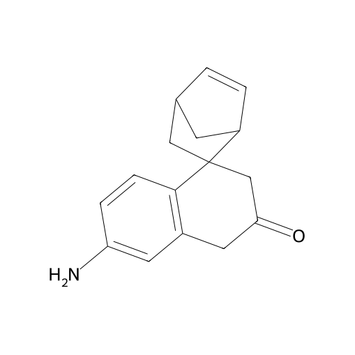 Nc1ccc2c(c1)CC(=O)CC21CC2C=CC1C2